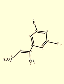 CCOC(=O)/C=C(\C)c1cc(F)cc(F)c1